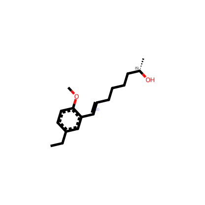 CCc1ccc(OC)c(/C=C/CCCC[C@H](C)O)c1